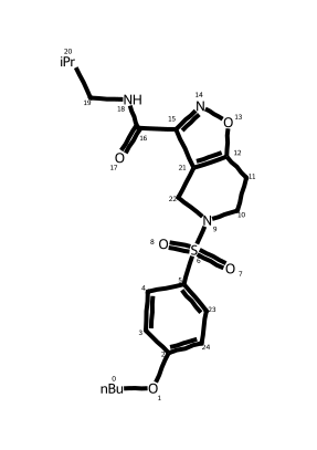 CCCCOc1ccc(S(=O)(=O)N2CCc3onc(C(=O)NCC(C)C)c3C2)cc1